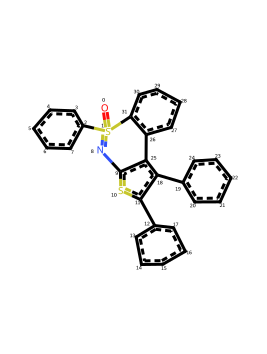 O=S1(c2ccccc2)=Nc2sc(-c3ccccc3)c(-c3ccccc3)c2-c2ccccc21